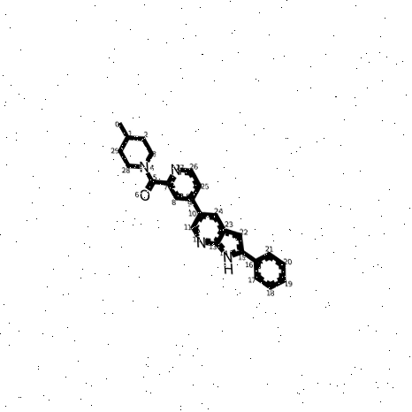 CC1CCN(C(=O)c2cc(-c3cnc4[nH]c(-c5ccccc5)cc4c3)ccn2)CC1